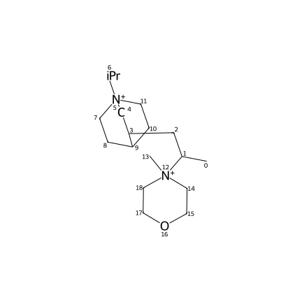 CC(CC1C[N+]2(C(C)C)CCC1CC2)[N+]1(C)CCOCC1